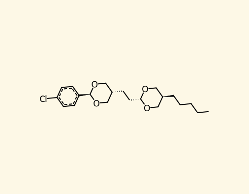 CCCCC[C@H]1CO[C@H](CC[C@H]2CO[C@H](c3ccc(Cl)cc3)OC2)OC1